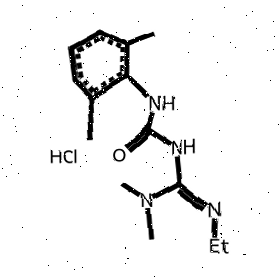 CCN=C(NC(=O)Nc1c(C)cccc1C)N(C)C.Cl